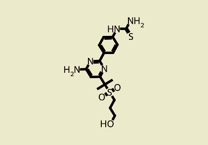 CC(C)(c1cc(N)nc(-c2ccc(NC(N)=S)cc2)n1)S(=O)(=O)CCCO